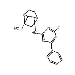 O=C(O)C1C2CCC(CC2)C1Nc1cc(-c2ccccc2)nc(Cl)n1